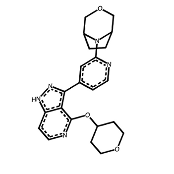 c1cc(-c2n[nH]c3ccnc(OC4CCOCC4)c23)cc(N2C3CCC2COC3)n1